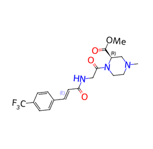 COC(=O)[C@H]1CN(C)CCN1C(=O)CNC(=O)/C=C/c1ccc(C(F)(F)F)cc1